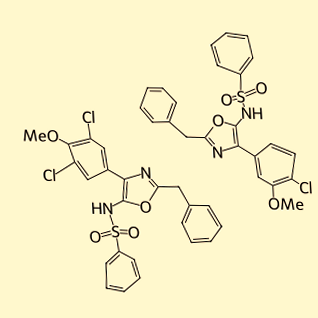 COc1c(Cl)cc(-c2nc(Cc3ccccc3)oc2NS(=O)(=O)c2ccccc2)cc1Cl.COc1cc(-c2nc(Cc3ccccc3)oc2NS(=O)(=O)c2ccccc2)ccc1Cl